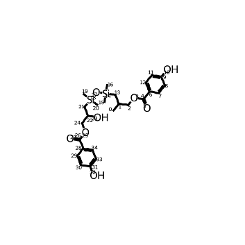 CC(COC(=O)c1ccc(O)cc1)C[Si](C)(C)O[Si](C)(C)CC(O)COC(=O)c1ccc(O)cc1